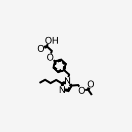 CCCCc1ncc(COC(C)=O)n1Cc1ccc(OCC(=O)O)cc1